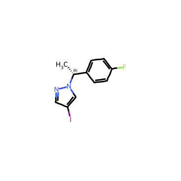 C[C@H](c1ccc(F)cc1)n1cc(I)cn1